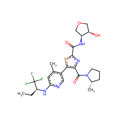 CC[C@H](Nc1cc(C)c(-c2sc(C(=O)N[C@H]3COC[C@H]3O)nc2C(=O)N2CCC[C@@H]2C)cn1)C(F)(F)F